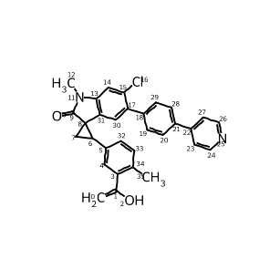 C=C(O)c1cc(C2CC23C(=O)N(C)c2cc(Cl)c(-c4ccc(-c5ccncc5)cc4)cc23)ccc1C